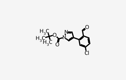 CC(C)(C)OC(=O)n1cc(-c2cc(Cl)ccc2C=O)cn1